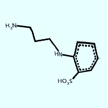 NCCCNc1cc[c]cc1S(=O)(=O)O